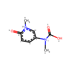 CN(C(=O)O)c1ccc(=O)n(C)c1